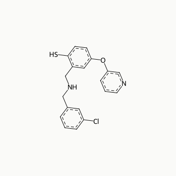 Sc1ccc(Oc2cccnc2)cc1CNCc1cccc(Cl)c1